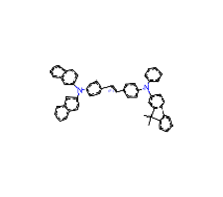 CC1(C)c2ccccc2-c2ccc(N(c3ccccc3)c3ccc(/C=C/c4ccc(N(c5ccc6ccccc6c5)c5ccc6ccccc6c5)cc4)cc3)cc21